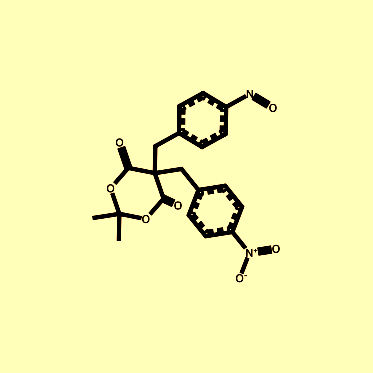 CC1(C)OC(=O)C(Cc2ccc(N=O)cc2)(Cc2ccc([N+](=O)[O-])cc2)C(=O)O1